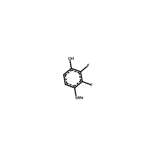 CSc1ccc(O)c(F)c1F